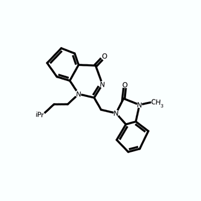 CC(C)CCn1c(Cn2c(=O)n(C)c3ccccc32)nc(=O)c2ccccc21